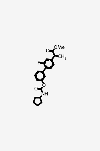 COC(=O)C(C)c1ccc(-c2cccc(OC(=O)NC3CCCC3)c2)c(F)c1